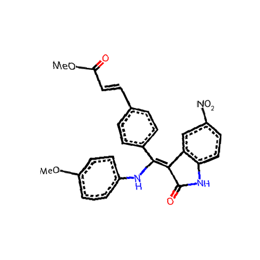 COC(=O)/C=C/c1ccc(/C(Nc2ccc(OC)cc2)=C2/C(=O)Nc3ccc([N+](=O)[O-])cc32)cc1